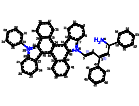 NC(/C=C(\C=C\n1c2ccccc2c2c3c4ccccc4c4c(c5ccccc5n4-c4ccccc4)c3c3ccccc3c21)c1ccccc1)c1ccccc1